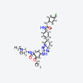 CN(C)CCNC(=O)c1ccc(Nc2nc3ccc(-c4ccc(NC(=O)Cc5ccc(F)cc5)cc4)cn3n2)cc1OCC(F)(F)F